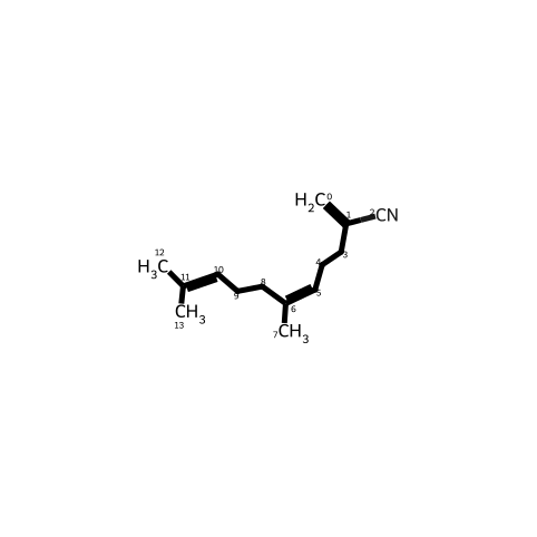 C=C(C#N)CCC=C(C)CCC=C(C)C